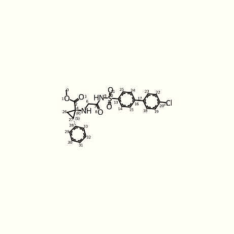 COC(=O)[C@@]1(NCC(=O)NS(=O)(=O)c2ccc(-c3ccc(Cl)cc3)cc2)C[C@H]1c1ccccc1